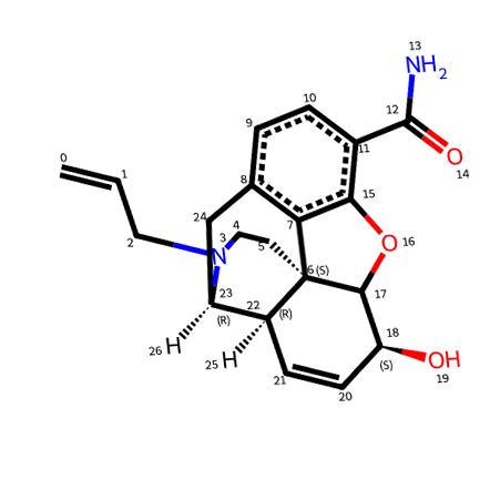 C=CCN1CC[C@]23c4c5ccc(C(N)=O)c4OC2[C@@H](O)C=C[C@H]3[C@H]1C5